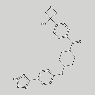 O=C(c1ccc(C2(O)COC2)cc1)N1CCC(Oc2ccc(-c3nn[nH]n3)cc2)CC1